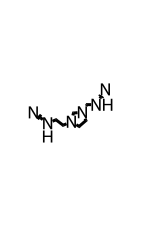 N#CNCCN1CCN(CNC#N)C1